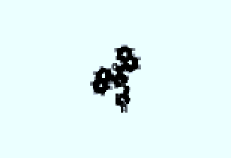 O=C(c1cn(Cc2c[nH]cn2)cc1-c1cccc2ccccc12)c1cccc2ccccc12